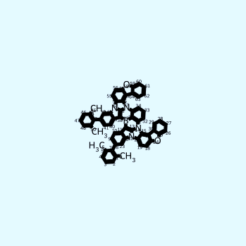 Cc1cccc(C)c1-c1ccc2c3c4n(c5c6c(ccc5n4c2c1)oc1ccccc16)-c1cccc2c1B3c1c3ccc(-c4c(C)cccc4C)cc3n3c4ccc5oc6ccccc6c5c4n-2c13